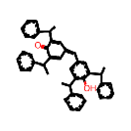 CC(C1=CC(=Cc2cc(C(C)c3ccccc3)c(O)c(C(C)c3ccccc3)c2)C=C(C(C)c2ccccc2)C1=O)c1ccccc1